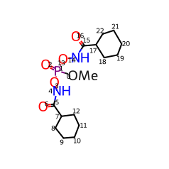 COP(=O)(ONC(=O)C1CCCCC1)ONC(=O)C1CCCCC1